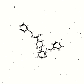 O=C(OCc1ccccc1)N1CCN(c2cccnc2OCc2ccccc2)CC1